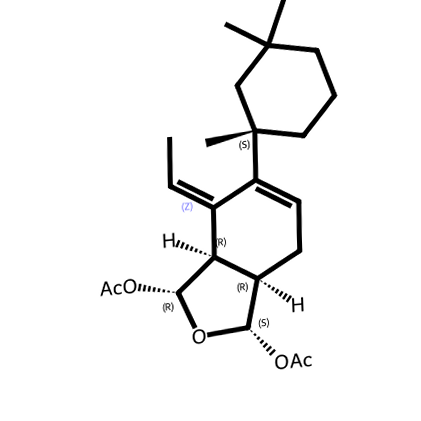 C/C=C1\C([C@@]2(C)CCCC(C)(C)C2)=CC[C@H]2[C@H](OC(C)=O)O[C@H](OC(C)=O)[C@@H]12